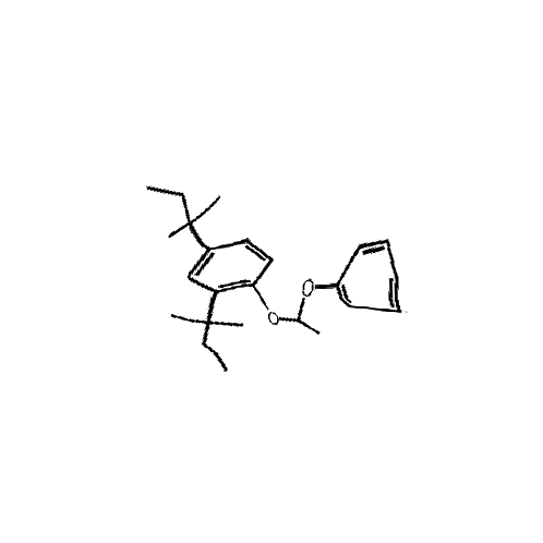 CCC(C)(C)c1ccc(OC(C)Oc2c[c]ccc2)c(C(C)(C)CC)c1